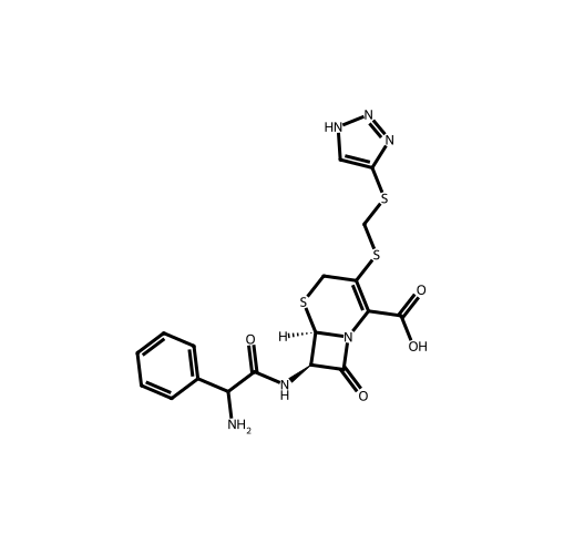 NC(C(=O)N[C@@H]1C(=O)N2C(C(=O)O)=C(SCSc3c[nH]nn3)CS[C@H]12)c1ccccc1